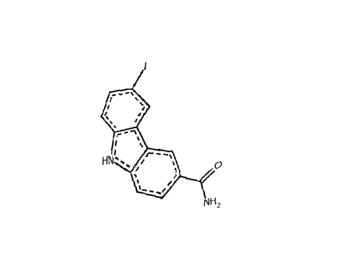 NC(=O)c1ccc2[nH]c3ccc(I)cc3c2c1